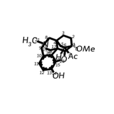 CO[C@@]12CCC3(C[C@H]1C(C)=O)C1Cc4ccc(O)c5c4C3(CCN1C)C2O5